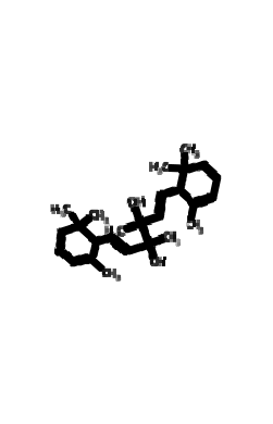 CC1=CCCC(C)(C)C1C=CC(C)(O)C(C)(O)C=CC1C(C)=CCCC1(C)C